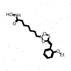 CCOc1ccccc1C=C1ON(CCCCCCC(=O)NO)OS1